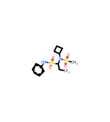 CS(=O)(=O)N(C1CCC1)C(CC(F)(F)F)S(=O)(=O)Nc1ccccc1